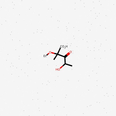 CCOC(C)(C(=O)O)C(=O)C(C)O